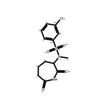 CN(C1CCCC(=O)NC1=O)S(=O)(=O)c1cccc(Cl)c1